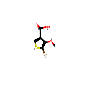 COc1c(C(=O)O)csc1Br